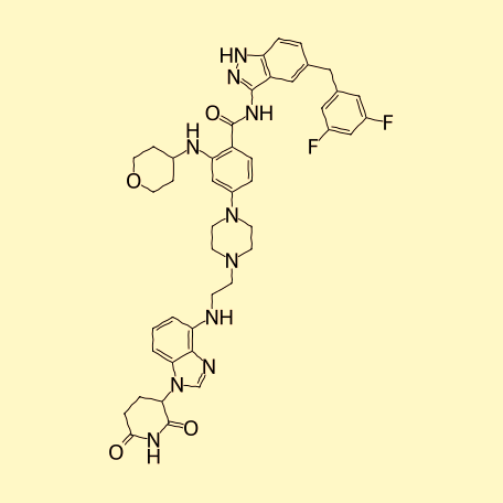 O=C1CCC(n2cnc3c(NCCN4CCN(c5ccc(C(=O)Nc6n[nH]c7ccc(Cc8cc(F)cc(F)c8)cc67)c(NC6CCOCC6)c5)CC4)cccc32)C(=O)N1